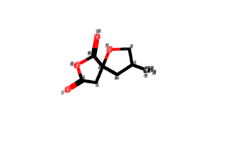 CC1COC2(CC(=O)OC2=O)C1